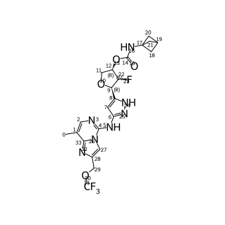 Cc1cnc(Nc2cc([C@H]3OC[C@@H](OC(=O)NC45CC(C4)C5)[C@H]3F)[nH]n2)n2cc(COC(F)(F)F)nc12